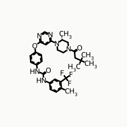 Cc1ccc(NC(=O)Nc2ccc(Oc3cc(N4CCN(C(=O)CC(C)(C)C)C[C@H]4C)ncn3)cc2)cc1C(F)(F)F